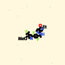 CCN1Cc2c(ccnc2NC(C)c2cc(F)c(-c3cc(C(C)(C)F)c(COC)cn3)cc2F)C1=O